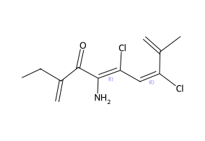 C=C(CC)C(=O)/C(N)=C(Cl)/C=C(/Cl)C(=C)C